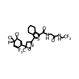 O=C(CNC(=O)c1sc(C2=NOC(C3=CC(Cl)C(F)(Cl)C=C3)(C(F)(F)F)C2)c2c1CCCC2)NCC(F)(F)F